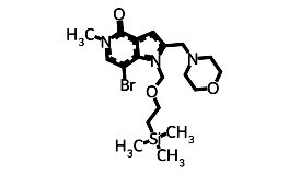 Cn1cc(Br)c2c(cc(CN3CCOCC3)n2COCC[Si](C)(C)C)c1=O